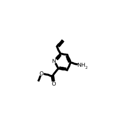 C=Cc1cc(N)cc(C(=O)OC)n1